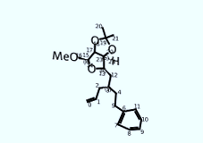 C=CC[C@H](CCc1ccccc1)C[C@H]1O[C@@H](OC)C2OC(C)(C)O[C@H]21